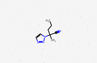 CCCC(C)(C#N)n1ccnn1